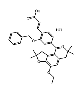 CCOc1cc2c(c3c1OC(C)(C)C3)C(c1ccc(C=CC(=O)O)c(OCc3ccccc3)c1)=NC(C)(C)C2.Cl